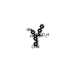 CC(C)(C)c1ccc(CNc2ccc(Oc3ccc(Cl)c(Cl)c3)cc2C(=O)N[C@@H](Cc2ccc(-c3ccccc3)cc2)C(=O)O)cc1